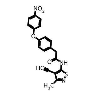 C#Cc1c(C)nsc1NC(=O)Cc1ccc(Oc2ccc([N+](=O)[O-])cc2)cc1